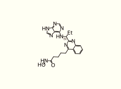 CC[C@H](Nc1ncnc2[nH]cnc12)c1nc(CCCCC(=O)NO)c2ccccc2n1